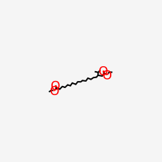 CCOC(=O)CCCCCCCCCCCCCCCC(CC(=O)OCC)C(C)C